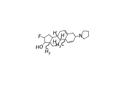 C[C@]12C=CC(N3CCCC3)CC1=CC[C@@H]1[C@H]2CC[C@]2(C)C(O)C(F)C[C@@H]12